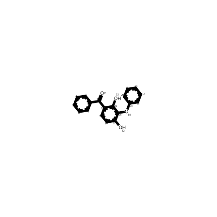 O=C(c1ccccc1)c1ccc(O)c(Oc2ccccc2)c1O